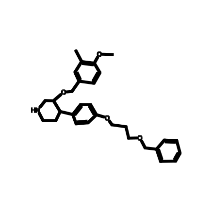 COc1ccc(COC2CNCCC2c2ccc(OCCCOCc3ccccc3)cc2)cc1C